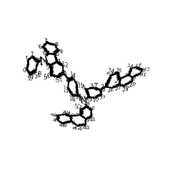 c1ccc(-n2c3ccccc3c3cc(-c4ccc(N(c5ccc(-c6ccc7c(ccc8ccccc87)c6)cc5)c5ccc6ccc7ccccc7c6c5)cc4)ccc32)cc1